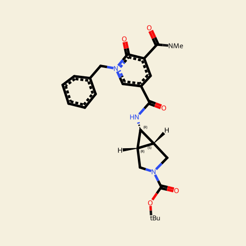 CNC(=O)c1cc(C(=O)N[C@@H]2[C@@H]3CN(C(=O)OC(C)(C)C)C[C@@H]32)cn(Cc2ccccc2)c1=O